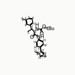 CC(c1cccc(I)c1)[C@H](NC(=O)OC(C)(C)C)C(=O)Nc1ccc(-c2cncn2C)cc1